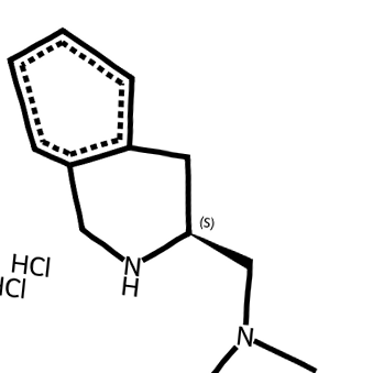 CN(C)C[C@@H]1Cc2ccccc2CN1.Cl.Cl